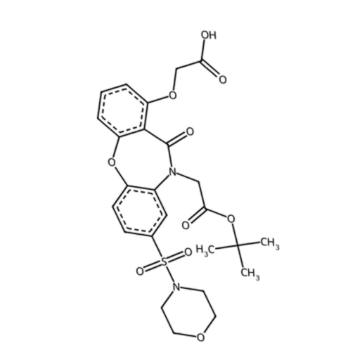 CC(C)(C)OC(=O)CN1C(=O)c2c(OCC(=O)O)cccc2Oc2ccc(S(=O)(=O)N3CCOCC3)cc21